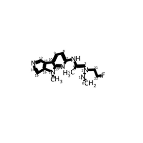 C=NN(/C=C(\C)Nc1ccc2c3cnccc3n(C)c2n1)CCF